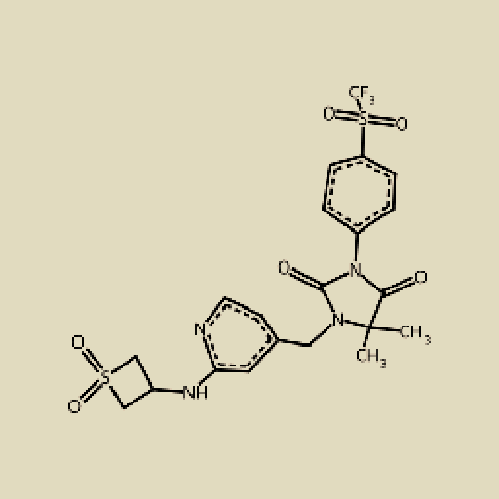 CC1(C)C(=O)N(c2ccc(S(=O)(=O)C(F)(F)F)cc2)C(=O)N1Cc1ccnc(NC2CS(=O)(=O)C2)c1